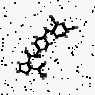 O=C(O)C1=C(C(=O)Nc2ccc(Oc3ccc(F)cc3F)cc2)CCC1